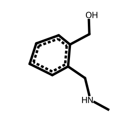 CNCc1ccccc1CO